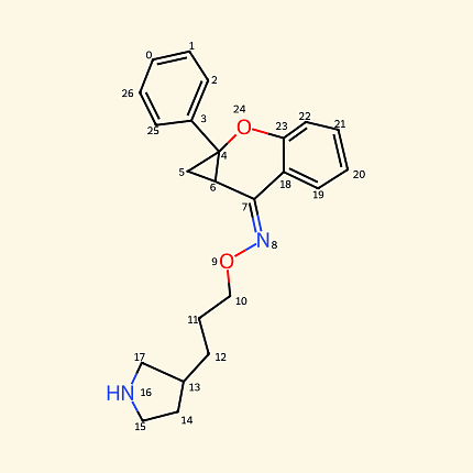 c1ccc(C23CC2C(=NOCCCC2CCNC2)c2ccccc2O3)cc1